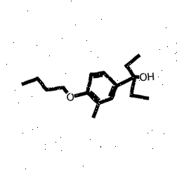 CCCCOc1ccc(C(O)(CC)CC)cc1C